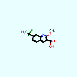 COc1nc2cc(C(C)(F)F)ccc2cc1C(=O)O